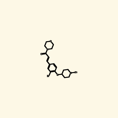 CC(C)N1CCC(Oc2ccc(C=CC(=O)N3CCOCC3)cc2Br)CC1